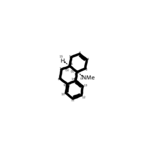 CN[C@@]12CC=CC[C@@H]1CCc1ccccc12